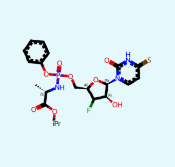 CC(C)OC(=O)[C@H](C)NP(=O)(OC[C@H]1O[C@@H](n2ccc(=S)[nH]c2=O)[C@@H](O)C1F)Oc1ccccc1